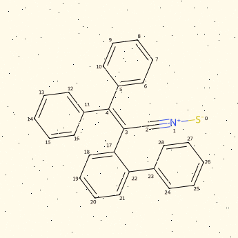 [S-][N+]#CC(=C(c1ccccc1)c1ccccc1)c1ccccc1-c1ccccc1